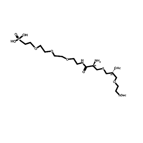 CCCCCCCCCCCCOC[C@H](CSC[C@H](N)C(=O)NCCOCCOCCOCCP(=O)(O)O)OC(C)=O